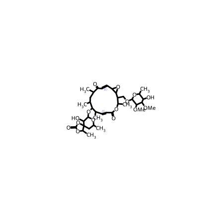 COC1C(OCC2C(C)OC(=O)/C=C/C(C)C(OC3OC(C)CC4(OC(=O)OC4C)C3O)C(C)CC(C)C(=O)/C=C/C3OC32)OC(C)C(O)C1OC